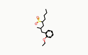 CCCCC(CC(C)Cc1ccccc1OCC)[SH](=O)=O